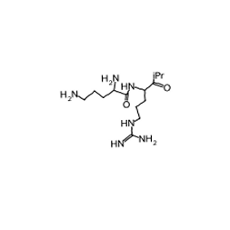 CC(C)C(=O)C(CCCNC(=N)N)NC(=O)C(N)CCCN